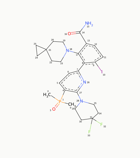 CP(C)(=O)c1ccc(-c2c(I)ccc(C(N)=O)c2N2CCC3(CC2)CC3)nc1N1CCC(F)(F)CC1